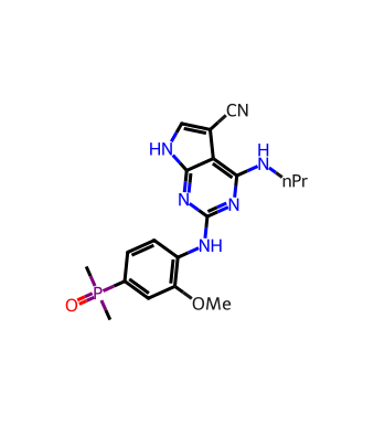 CCCNc1nc(Nc2ccc(P(C)(C)=O)cc2OC)nc2[nH]cc(C#N)c12